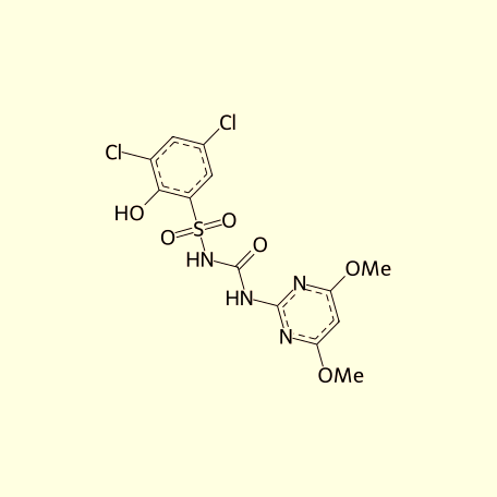 COc1cc(OC)nc(NC(=O)NS(=O)(=O)c2cc(Cl)cc(Cl)c2O)n1